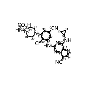 N#Cc1cc(Nc2nc(NC3CC3)c3ncc(C#N)n3n2)c(Cl)c(N2CCN(NC(=O)O)CC2)c1